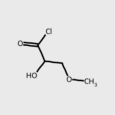 COCC(O)C(=O)Cl